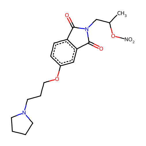 CC(CN1C(=O)c2ccc(OCCCN3CCCC3)cc2C1=O)O[N+](=O)[O-]